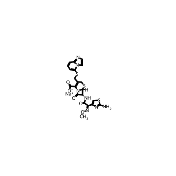 CO/N=C(\C(=O)N[C@@H]1C(=O)N2C(C(=O)[O-])=C(CSc3cccc4nccn34)CS[C@H]12)c1csc(N)n1.[Na+]